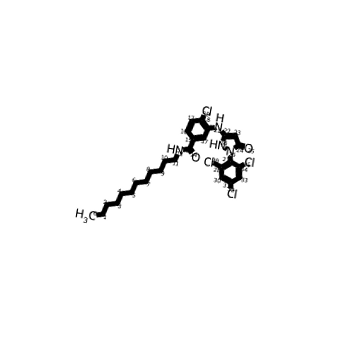 CCCCCCCCCCCCNC(=O)c1ccc(Cl)c(Nc2cc(=O)n(-c3c(Cl)cc(Cl)cc3Cl)[nH]2)c1